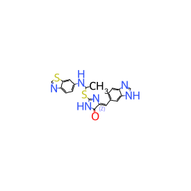 CC(Nc1ccc2ncsc2c1)SC1=N/C(=C\c2ccc3nc[nH]c3c2)C(=O)N1